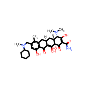 CN(Cc1cc(O)c2c(c1C(F)(F)F)C[C@H]1C[C@H]3[C@H](N(C)C)C(O)=C(C(N)=O)C(=O)[C@@]3(O)C(O)=C1C2=O)C1CCCCC1